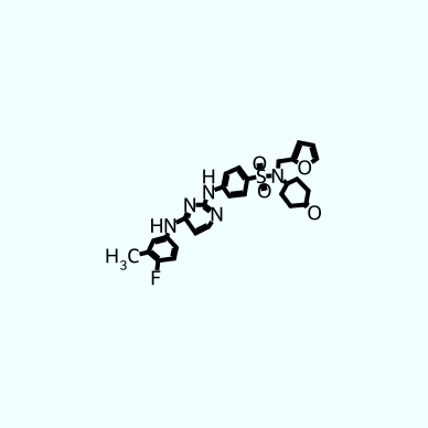 Cc1cc(Nc2ccnc(Nc3ccc(S(=O)(=O)N(Cc4ccco4)C4CCC(=O)CC4)cc3)n2)ccc1F